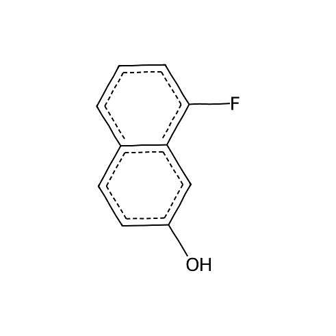 Oc1ccc2cccc(F)c2c1